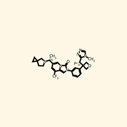 C[C@H](c1cc(C(F)(F)F)c2cn(-c3cccc(C4([C@H](F)c5nncn5C)COC4)c3)c(=O)n2c1)N1CCC2(CC2)C1